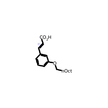 CCCCCCCCCOc1cccc(/C=C/C(=O)O)c1